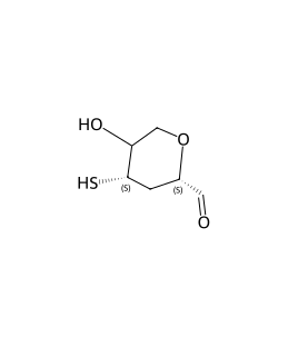 O=C[C@@H]1C[C@H](S)C(O)CO1